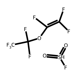 FC(F)=C(F)OC(F)(F)C(F)(F)F.O=[SH](=O)F